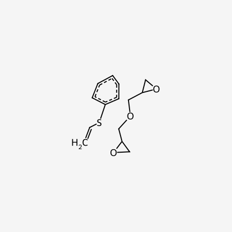 C(OCC1CO1)C1CO1.C=CSc1ccccc1